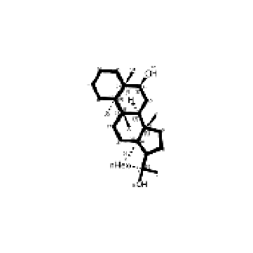 CCCCCC[C@](C)(O)C1CC[C@@]2(C)[C@@H]3C[C@H](O)[C@@]4(C)CCCC[C@]4(C)[C@@]3(C)CC[C@]12C